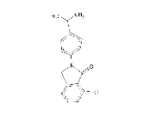 CC(C)c1ccc(N2Cc3cccc(Cl)c3C2=O)cc1